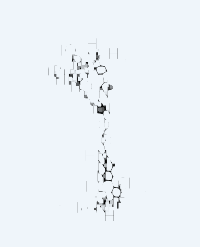 CCCCCCNC(=O)Nc1cc(-c2cc3cnc(NCCOCCOCc4cn(CCCCCC(=O)NC(C(=O)N5C[C@H](O)C[C@H]5C(=O)NC(C)c5ccc(-c6scnc6C)cc5)C(C)(C)C)nn4)nc3nc2C)c(C)cc1F